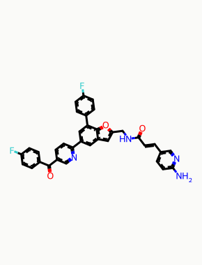 Nc1ccc(/C=C/C(=O)NCc2cc3cc(-c4ccc(C(=O)c5ccc(F)cc5)cn4)cc(-c4ccc(F)cc4)c3o2)cn1